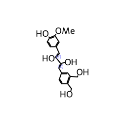 COc1cc(/C=C(O)/C(O)=C/c2ccc(CO)c(CO)c2)ccc1O